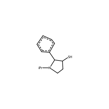 CC(C)N1CCC(S)C1c1ccccc1